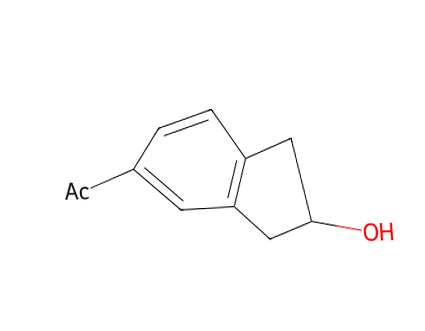 CC(=O)c1ccc2c(c1)CC(O)C2